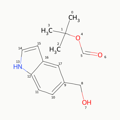 CC(C)(C)OC=O.OCc1ccc2[nH]ccc2c1